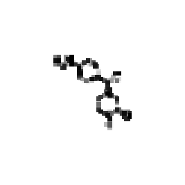 Nc1ccc(C(=O)N2CCNC(=O)C2)cc1